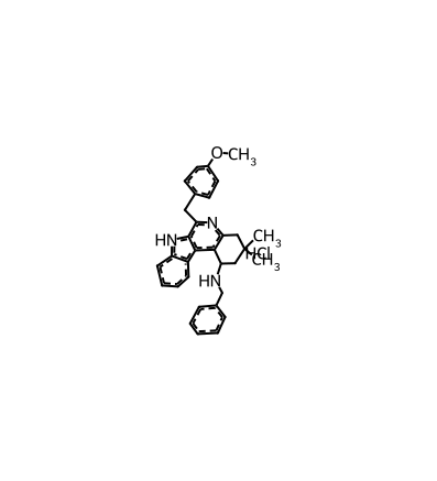 COc1ccc(Cc2nc3c(c4c2[nH]c2ccccc24)C(NCc2ccccc2)CC(C)(C)C3)cc1.Cl